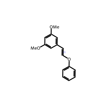 COc1cc(/C=C/Oc2ccccc2)cc(OC)c1